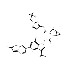 CC(=O)c1cn(CC(=O)N2[C@H](C(=O)Nc3ccn(CC(F)(F)F)n3)C[C@@]3(C)C[C@@H]23)c2c(C)cc(-c3cnc4cc(C)nn4c3)cc12